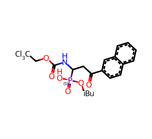 CCC(C)O[P@@](=O)(O)C(CC(=O)c1ccc2ccccc2c1)NC(=O)OCC(Cl)(Cl)Cl